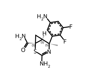 C[C@]1(c2cc(N)cc(F)c2F)N=C(N)S[C@@]2(C(N)=O)C[C@H]21